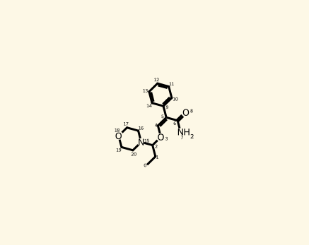 CCC(OC=C(C(N)=O)c1ccccc1)N1CCOCC1